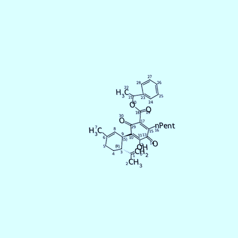 C=C(C)[C@@H]1CCC(C)=C[C@H]1C1=C(O)C(=O)C(CCCCC)=C(C(=O)OC(C)c2ccccc2)C1=O